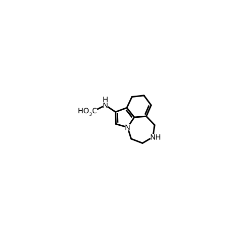 O=C(O)Nc1cn2c3c1CCC=C3CNCC2